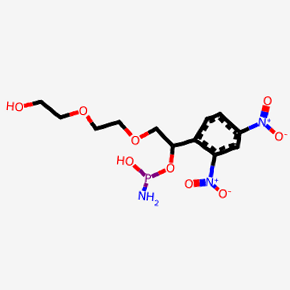 NP(O)OC(COCCOCCO)c1ccc([N+](=O)[O-])cc1[N+](=O)[O-]